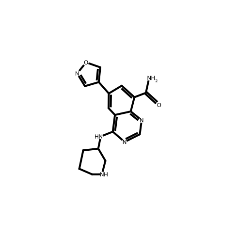 NC(=O)c1cc(-c2cnoc2)cc2c(NC3CCCNC3)ncnc12